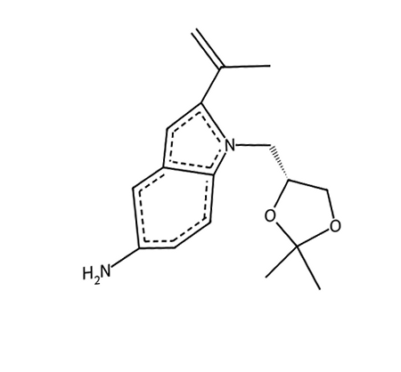 C=C(C)c1cc2cc(N)ccc2n1C[C@@H]1COC(C)(C)O1